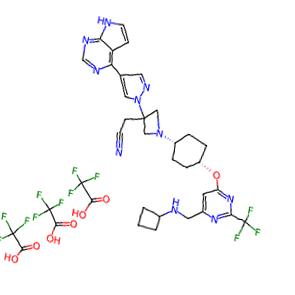 N#CCC1(n2cc(-c3ncnc4[nH]ccc34)cn2)CN([C@H]2CC[C@@H](Oc3cc(CNC4CCC4)nc(C(F)(F)F)n3)CC2)C1.O=C(O)C(F)(F)F.O=C(O)C(F)(F)F.O=C(O)C(F)(F)F